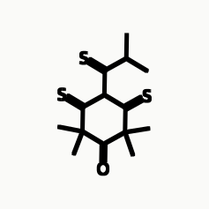 CC(C)C(=S)C1C(=S)C(C)(C)C(=O)C(C)(C)C1=S